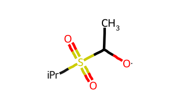 CC(C)S(=O)(=O)C(C)[O]